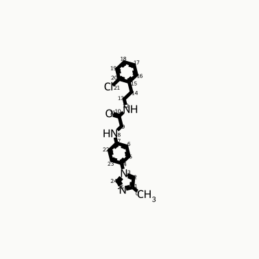 Cc1cn(-c2ccc(NCC(=O)NCCc3ccccc3Cl)cc2)cn1